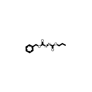 CCCOC(=O)N=NC(=O)OCc1ccccc1